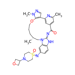 Cc1cc2cc(n1)-c1cnn(C)c1OCCC[C@@H](C)CN1/C(=N/C2=O)Nc2ccc(N=S3(=O)CCN(C4COC4)CC3)cc21